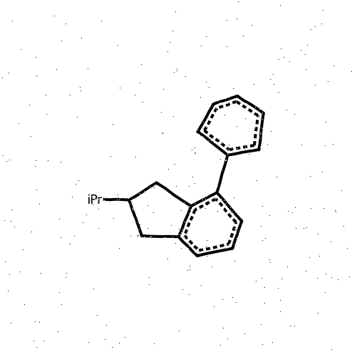 CC(C)C1[CH]c2cccc(-c3ccccc3)c2C1